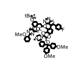 COc1ccc(C(OC[C@@H](CN2CCN(C)CC2)Oc2ccc(-c3c(-c4ccc(F)cc4)sc4ncnc(O[C@H](Cc5cc(O[Si](C)(C)C(C)(C)C)ccc5OCc5ccnc(-c6ccccc6OC)n5)C(=O)O)c34)c(C)c2Cl)(c2ccccc2)c2ccc(OC)cc2)cc1